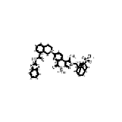 Cc1c(-c2ccc(N3CCc4cccc(C(=O)Nc5nc6ccccc6s5)c4C3)nc2C(=O)OC(C)(C)C)cnn1CC12CC3CC(C1)CC(S(C)(=O)=O)(C3)C2